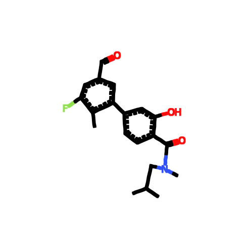 Cc1c(F)cc(C=O)cc1-c1ccc(C(=O)N(C)CC(C)C)c(O)c1